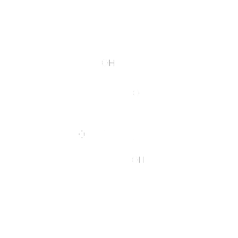 COC1(C)CC(O)OC(C)[C@@H]1O